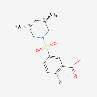 C[C@@H]1C[C@@H](C)CN(S(=O)(=O)c2ccc(Cl)c(C(=O)O)c2)C1